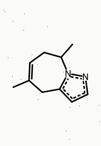 CC1=CCC(C)n2nccc2C1